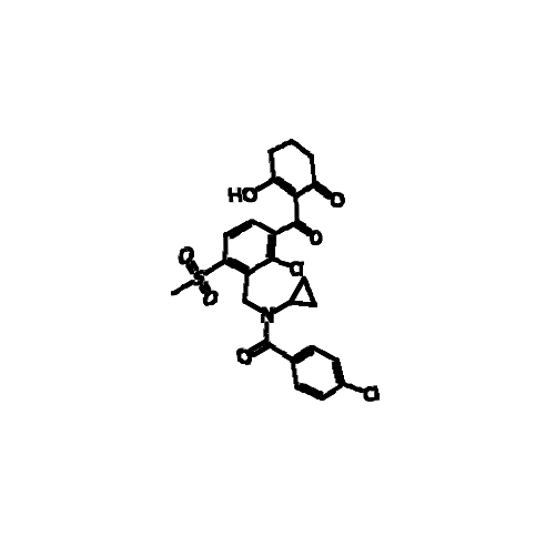 CS(=O)(=O)c1ccc(C(=O)C2=C(O)CCCC2=O)c(Cl)c1CN(C(=O)c1ccc(Cl)cc1)C1CC1